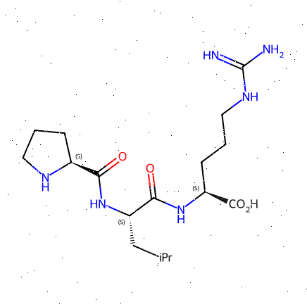 CC(C)C[C@H](NC(=O)[C@@H]1CCCN1)C(=O)N[C@@H](CCCNC(=N)N)C(=O)O